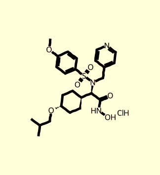 COc1ccc(S(=O)(=O)N(Cc2ccncc2)[C@@H](C(=O)NO)[C@H]2CC[C@H](OCC(C)C)CC2)cc1.Cl